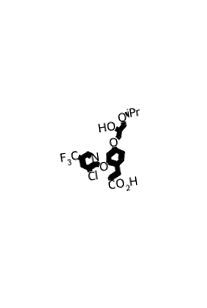 CC(C)OCC(O)COc1ccc(C=CC(=O)O)c(Oc2ncc(C(F)(F)F)cc2Cl)c1